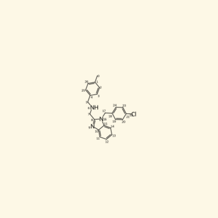 Cc1ccc(CNCc2nc3ccccc3n2Cc2ccc(Cl)cc2)cc1